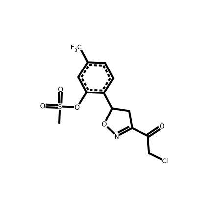 CS(=O)(=O)Oc1cc(C(F)(F)F)ccc1C1CC(C(=O)CCl)=NO1